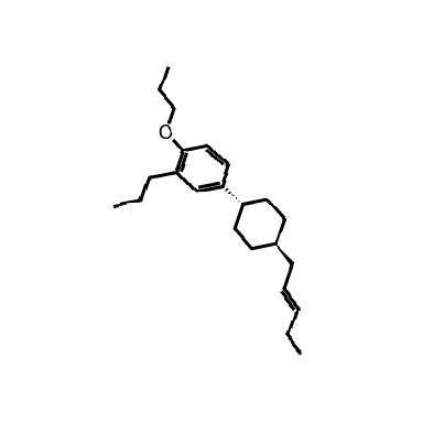 CCC=CC[C@H]1CC[C@H](c2ccc(OCCC)c(CCC)c2)CC1